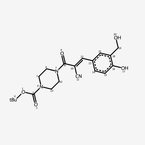 CC(C)(C)OC(=O)N1CCN(C(=O)/C(C#N)=C/c2ccc(O)c(CO)c2)CC1